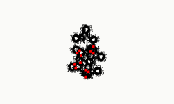 c1ccc(-c2cc(-c3ccccc3)nc(-c3c(-n4c5ccccc5c5ccccc54)c(-n4c5ccccc5c5ccccc54)nc(-n4c5ccccc5c5cc(-c6cccc(N7c8ccccc8C8c9ccccc9NC87)c6)ccc54)c3-n3c4ccccc4c4ccccc43)n2)cc1